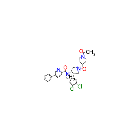 CC(=O)N1CCC(C(=O)N2CCC(N(C)C(=O)c3ccc(-c4ccccc4)cn3)C(c3ccc(Cl)c(Cl)c3)C2)CC1